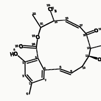 Cc1cc(O)c2c(c1)/C=C/C[C@H](O)C(O)C(=O)/C=C\C(C(F)(F)F)C(C)OC2=O